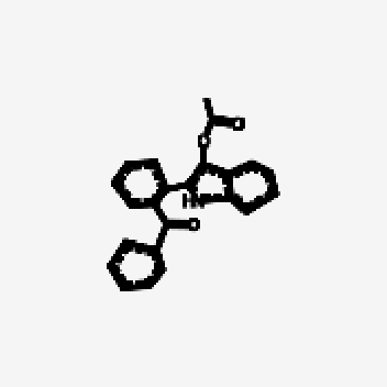 CC(=O)Oc1c(-c2ccccc2C(=O)c2ccccc2)[nH]c2ccccc12